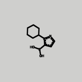 OB(O)c1ccnn1C1CCCCC1